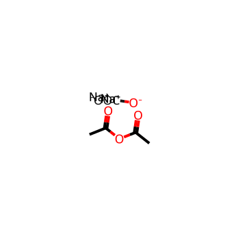 CC(=O)OC(C)=O.O=C([O-])[O-].[Na+].[Na+]